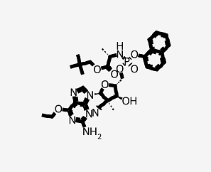 CCOc1nc(N)nc2c1ncn2[C@@H]1O[C@H](COP(=O)(N[C@@H](C)C(=O)OCC(C)(C)C)Oc2cccc3ccccc23)[C@@H](O)[C@@]1(C)C#N